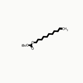 C=CCCCCCCCCCOC(=O)OCC(C)C